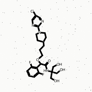 O=C(NC(CO)(CO)CO)C(OCCCC1CCN(c2ncc(Cl)cn2)CC1)c1c(F)cccc1F